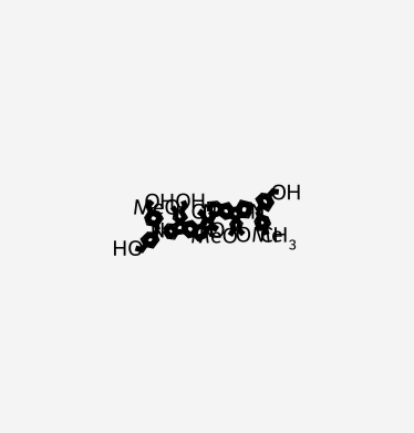 COCCC1(CCCO)c2cc(N(c3ccc(CO)cc3)c3ccc(CO)cc3)ccc2-c2cc3c(cc21)C1=C2C(=O)N4C=Cc5cc6c(cc5C4=C2C(=O)N1C=C3)C(CCOC)(CCOC)c1cc(N(c2ccc(C)cc2)c2ccc(CO)cc2)ccc1-6